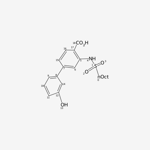 CCCCCCCCS(=O)(=O)Nc1cc(-c2cccc(O)c2)ccc1C(=O)O